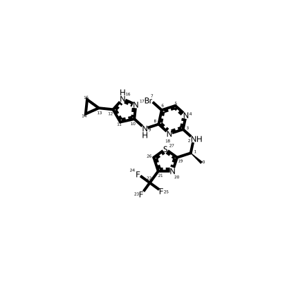 C[C@H](Nc1ncc(Br)c(Nc2cc(C3CC3)[nH]n2)n1)c1nc(C(F)(F)F)cs1